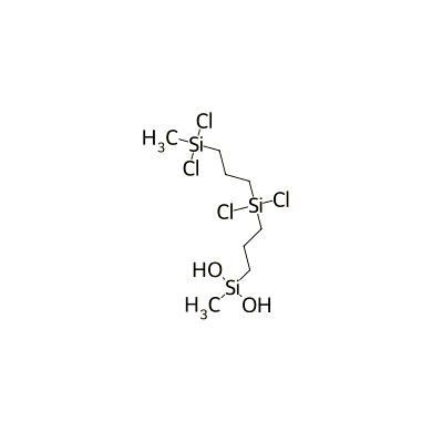 C[Si](O)(O)CCC[Si](Cl)(Cl)CCC[Si](C)(Cl)Cl